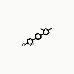 Cc1ccc(-c2ccc(-c3ccc(Cl)nn3)cc2)c(C)n1